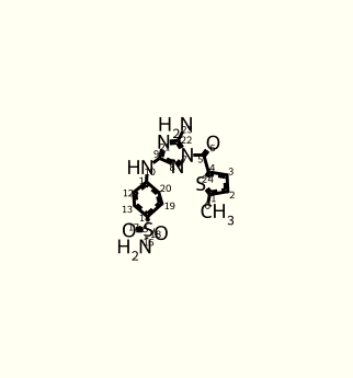 Cc1ccc(C(=O)n2nc(Nc3ccc(S(N)(=O)=O)cc3)nc2N)s1